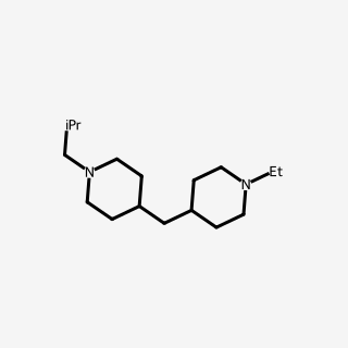 CCN1CCC(CC2CCN(CC(C)C)CC2)CC1